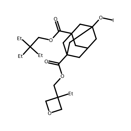 CCC(CC)(CC)COC(=O)C12CC3CC(OI)(C1)CC(C(=O)OCC1(CC)COC1)(C3)C2